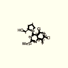 CSc1nc(N2CCC[C@@H]2CO)c2c(Cl)nc(Cl)c(F)c2n1